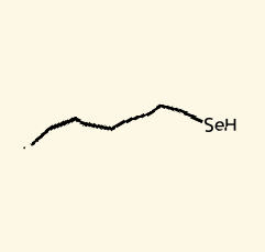 [CH2]CCC[SeH]